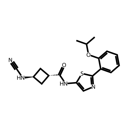 CC(C)Oc1ccccc1-c1ncc(NC(=O)[C@H]2C[C@H](NC#N)C2)s1